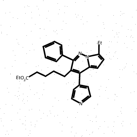 CCOC(=O)CCCCc1c(-c2ccccc2)nn2c(CC)ccc2c1-c1ccncc1